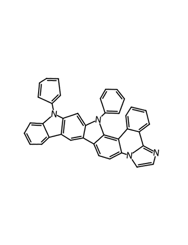 c1ccc(-n2c3ccccc3c3cc4c5ccc6c(c7ccccc7c7nccn67)c5n(-c5ccccc5)c4cc32)cc1